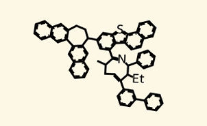 CCC1/C(c2cccc(-c3ccccc3)c2)=C/CC(C)/C(c2cc(C3CCc4cc5ccccc5cc4-c4cc5ccccc5cc43)cc3sc4c5ccccc5ccc4c23)=N\C1c1ccccc1